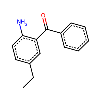 CCc1ccc(N)c(C(=O)c2ccccc2)c1